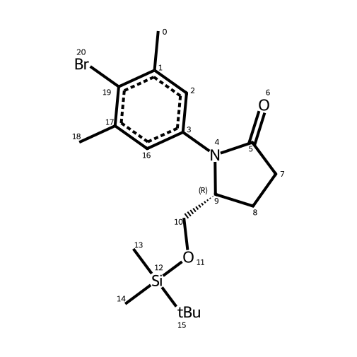 Cc1cc(N2C(=O)CC[C@@H]2CO[Si](C)(C)C(C)(C)C)cc(C)c1Br